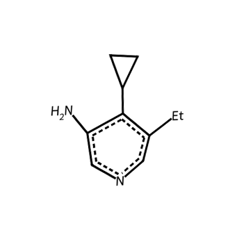 CCc1cncc(N)c1C1CC1